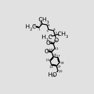 C=CC(C)CCCC(C)(C)OC(=O)CC(=O)c1ccc(CO)cc1